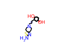 Nc1nc2c(s1)CCN(C/C=C/c1cc(O)ccc1O)CC2